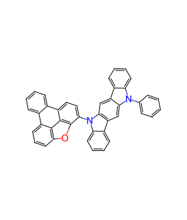 c1ccc(-n2c3ccccc3c3cc4c(cc32)c2ccccc2n4-c2ccc3c4ccccc4c4cccc5oc2c3c54)cc1